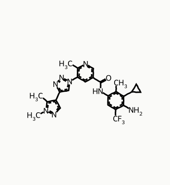 Cc1ncc(C(=O)Nc2cc(C(F)(F)F)c(N)c(C3CC3)c2C)cc1-n1cc(-c2cnn(C)c2C)nn1